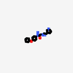 O=C(CNCCc1cccnc1)Nc1ccc(Oc2ccccc2)cc1